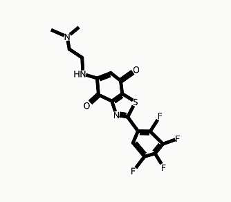 CN(C)CCNC1=CC(=O)c2sc(-c3cc(F)c(F)c(F)c3F)nc2C1=O